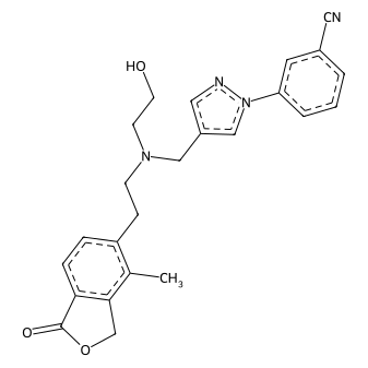 Cc1c(CCN(CCO)Cc2cnn(-c3cccc(C#N)c3)c2)ccc2c1COC2=O